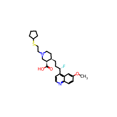 COc1ccc2nccc([C@@H](F)CC[C@@H]3CCN(CCSC4CCCC4)C[C@@H]3C(=O)O)c2c1